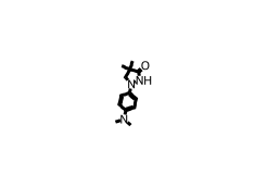 CN(C)c1ccc(N2CC(C)(C)C(=O)N2)cc1